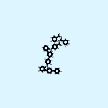 C=C(/N=C(\N=C(/N)c1ccc(-n2c3ccccc3c3cc(-c4ccc(-n5c6ccccc6c6ccc(-c7ccccc7)cc65)cc4)ccc32)cc1)c1ccccc1)c1ccccc1